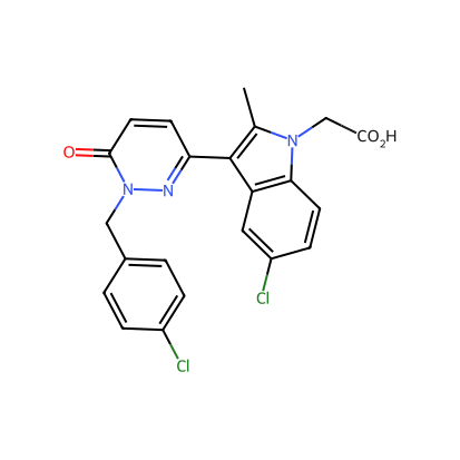 Cc1c(-c2ccc(=O)n(Cc3ccc(Cl)cc3)n2)c2cc(Cl)ccc2n1CC(=O)O